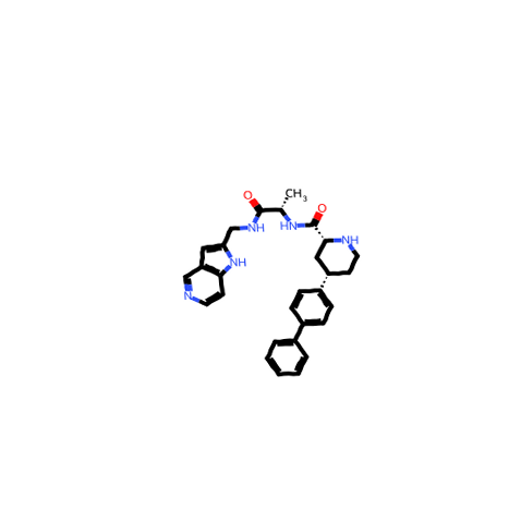 C[C@H](NC(=O)[C@H]1C[C@@H](c2ccc(-c3ccccc3)cc2)CCN1)C(=O)NCc1cc2cnccc2[nH]1